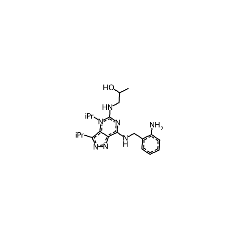 CC(O)CNc1nc(NCc2ccccc2N)c2nnc(C(C)C)c-2n1C(C)C